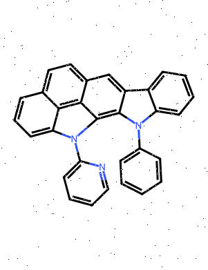 c1ccc(-n2c3ccccc3c3cc4ccc5cccc6c5c4c(c32)n6-c2ccccn2)cc1